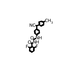 Cc1ccc(C(C#N)c2ccc(NC(=O)NC(=O)c3c(F)cccc3F)cc2)cc1